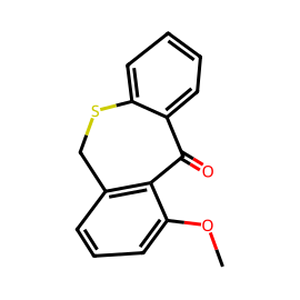 COc1cccc2c1C(=O)c1ccccc1SC2